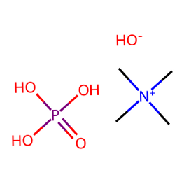 C[N+](C)(C)C.O=P(O)(O)O.[OH-]